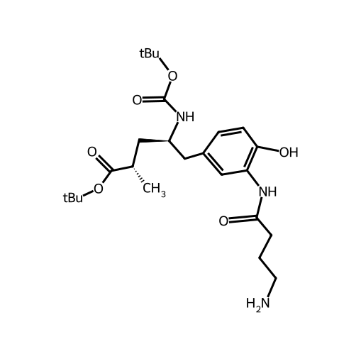 C[C@@H](C[C@H](Cc1ccc(O)c(NC(=O)CCCN)c1)NC(=O)OC(C)(C)C)C(=O)OC(C)(C)C